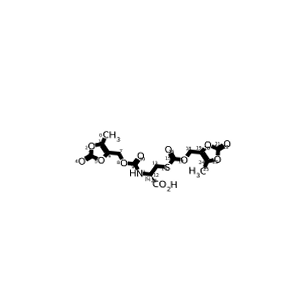 Cc1oc(=O)oc1COC(=O)N[C@H](CSC(=O)OCc1oc(=O)oc1C)C(=O)O